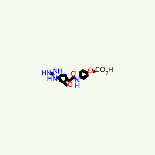 N=C(N)Nc1ccc2c(C(=O)Nc3ccc(OCC(=O)O)cc3)occ2c1